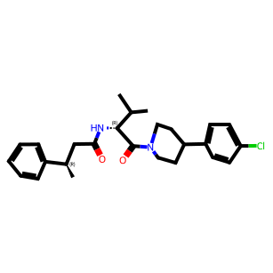 CC(C)[C@@H](NC(=O)C[C@@H](C)c1ccccc1)C(=O)N1CCC(c2ccc(Cl)cc2)CC1